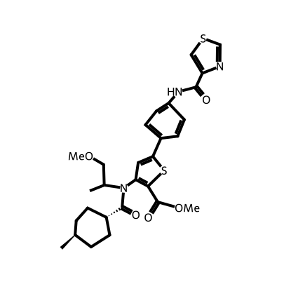 COCC(C)N(c1cc(-c2ccc(NC(=O)c3cscn3)cc2)sc1C(=O)OC)C(=O)[C@H]1CC[C@H](C)CC1